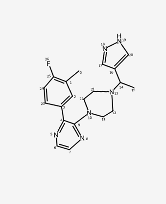 Cc1cc(-c2nccnc2N2CCN(C(C)c3cn[nH]c3)CC2)ccc1F